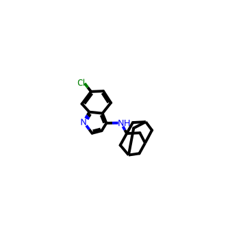 Clc1ccc2c(NC34CC5CC(CC(C5)C3)C4)ccnc2c1